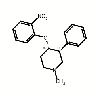 CN1CC[C@H](Oc2ccccc2[N+](=O)[O-])[C@@H](c2ccccc2)C1